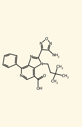 CC(C)(C)CCn1c(-c2nonc2N)nc2c(-c3ccccc3)ncc(C(=O)O)c21